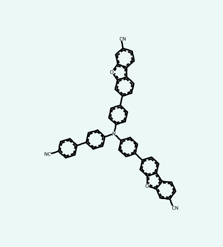 N#Cc1ccc(-c2ccc(N(c3ccc(-c4ccc5c(c4)oc4cc(C#N)ccc45)cc3)c3ccc(-c4ccc5c(c4)oc4cc(C#N)ccc45)cc3)cc2)cc1